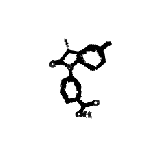 Cc1ccc2c(c1)[C@@H](C)C(=O)N2c1cccc(C(=O)O)c1